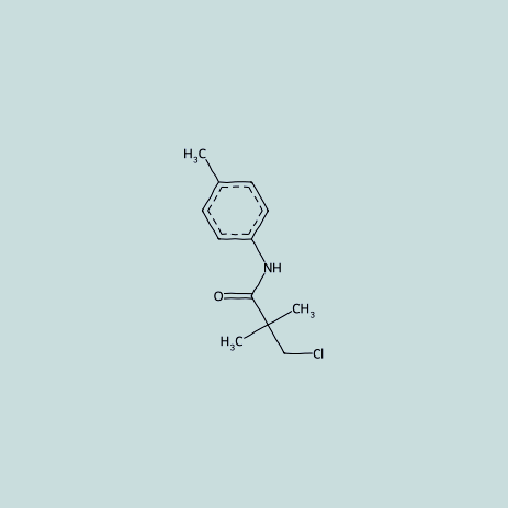 Cc1ccc(NC(=O)C(C)(C)CCl)cc1